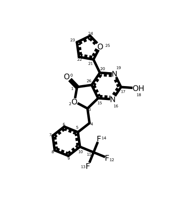 O=C1OC(Cc2ccccc2C(F)(F)F)c2nc(O)nc(-c3ccco3)c21